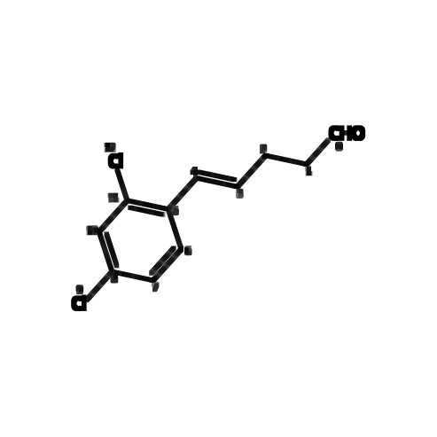 O=CCCC=Cc1ccc(Cl)cc1Cl